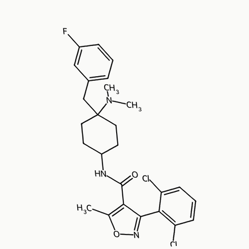 Cc1onc(-c2c(Cl)cccc2Cl)c1C(=O)NC1CCC(Cc2cccc(F)c2)(N(C)C)CC1